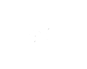 CC1(C)[C@H](C(=O)OCc2ccccc2)N2C(=O)[C@@H](Cc3ccccc3)[C@H]2S1(=O)=O